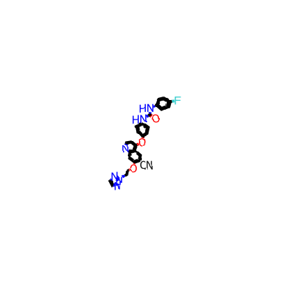 N#Cc1cc2c(Oc3ccc(NC(=O)Nc4ccc(F)cc4)cc3)ccnc2cc1OCCn1nccn1